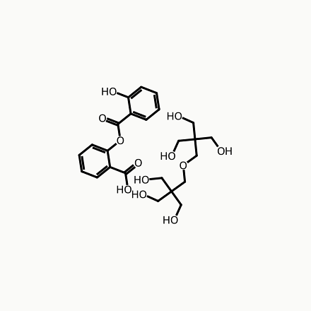 O=C(Oc1ccccc1C(=O)O)c1ccccc1O.OCC(CO)(CO)COCC(CO)(CO)CO